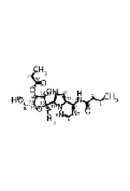 CCCC(=O)Nc1ncnn2c([C@]3(C)O[C@H](CO)[C@@H](OC(=O)CC)[C@H]3O)ccc12